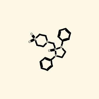 O=P1(CN2CCS(=O)(=O)CC2)N(c2ccccc2)CCN1c1ccccc1